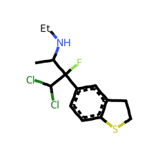 CCNC(C)C(F)(c1ccc2c(c1)CCS2)C(Cl)Cl